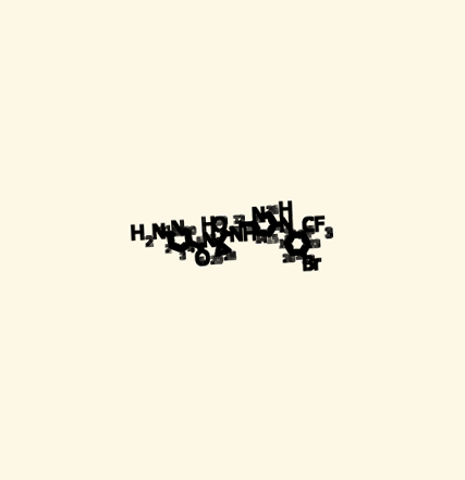 Nc1ccc(C(=O)NC2(C(=O)NCc3ccc(Nc4ccc(Br)cc4C(F)(F)F)cn3)CC2)cn1